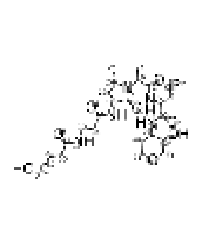 CC(C)CC(NC(=O)C(C)N1C(=O)C(NC(=O)CCNC(=O)CCC(=O)O)CC1C)C(=O)NC1CCOC=C1O